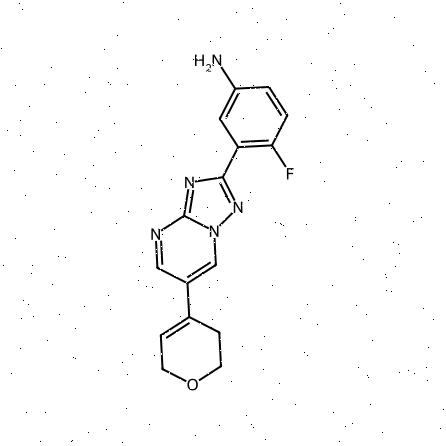 Nc1ccc(F)c(-c2nc3ncc(C4=CCOCC4)cn3n2)c1